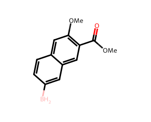 Bc1ccc2cc(OC)c(C(=O)OC)cc2c1